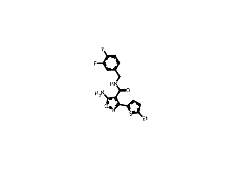 CCc1ccc(-c2noc(N)c2C(=O)NCc2ccc(F)c(F)c2)s1